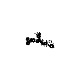 CC(C)c1ccccc1[C@@H]1CCCN1C1CC2(CCN(c3ccc(C(=O)NS(=O)(=O)c4cnc(NCC5CCC(C)(F)CC5)c([N+](=O)[O-])c4)c(Oc4cnc5[nH]ccc5c4)c3)CC2)C1